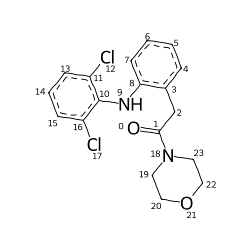 O=C(Cc1ccccc1Nc1c(Cl)cccc1Cl)N1CCOCC1